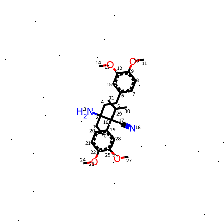 CCC(N)(CCc1ccc(OC)c(OC)c1)C(C#N)(c1ccc(OC)c(OC)c1)C(C)C